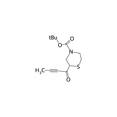 CC#CC(=O)C1CN(C(=O)OC(C)(C)C)CCS1